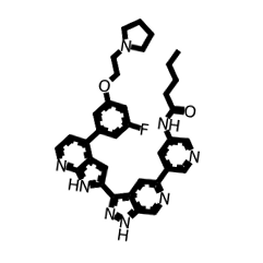 CCCCC(=O)Nc1cncc(-c2cc3c(-c4cc5c(-c6cc(F)cc(OCCN7CCCC7)c6)ccnc5[nH]4)n[nH]c3cn2)c1